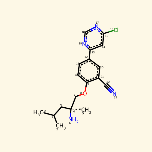 CC(C)C[C@](C)(N)COc1ccc(-c2cc(Cl)ncn2)cc1C#N